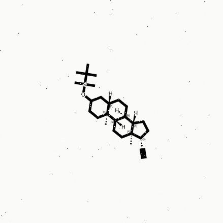 C#C[C@H]1CC[C@H]2[C@@H]3CC[C@H]4CC(O[Si](C)(C)C(C)(C)C)CC[C@]4(C)[C@H]3CC[C@]12C